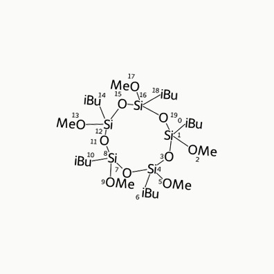 CCC(C)[Si]1(OC)O[Si](OC)(C(C)CC)O[Si](OC)(C(C)CC)O[Si](OC)(C(C)CC)O[Si](OC)(C(C)CC)O1